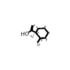 C=C(O)[C@@]1(C)CCCCC1C